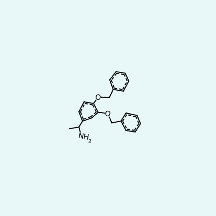 CC(N)c1ccc(OCc2ccccc2)c(OCc2ccccc2)c1